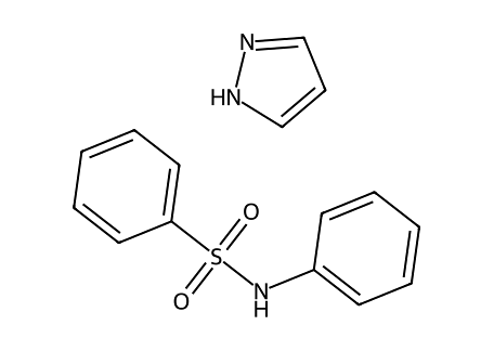 O=S(=O)(Nc1ccccc1)c1ccccc1.c1cn[nH]c1